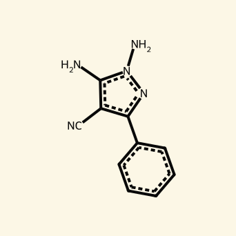 N#Cc1c(-c2ccccc2)nn(N)c1N